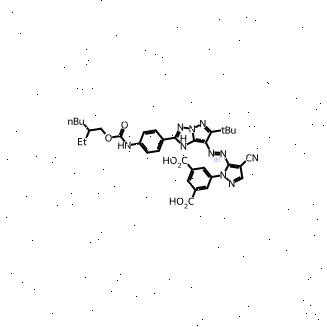 CCCCC(CC)COC(=O)Nc1ccc(-c2nn3nc(C(C)(C)C)c(/N=N/c4c(C#N)cnn4-c4cc(C(=O)O)cc(C(=O)O)c4)c3[nH]2)cc1